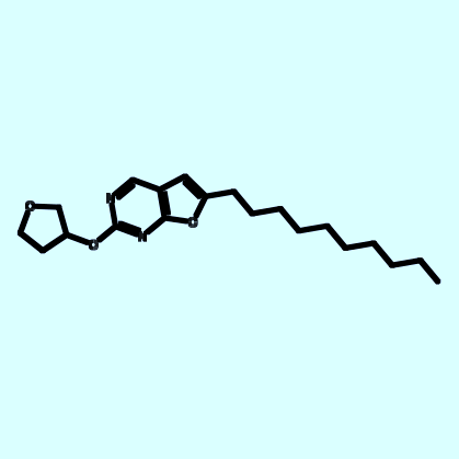 CCCCCCCCCCc1cc2cnc(OC3CCOC3)nc2o1